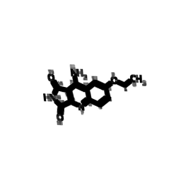 CCOc1ccc2nc3c(c(N)c2c1)C(=O)NC3=O